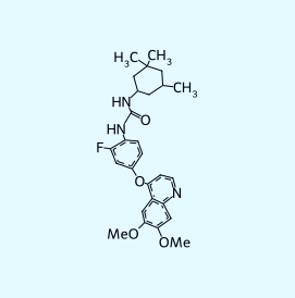 COc1cc2nccc(Oc3ccc(NC(=O)NC4CC(C)CC(C)(C)C4)c(F)c3)c2cc1OC